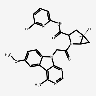 COc1ccc2c(c1)c1c(N)ncnc1n2CC(=O)N1C(C(=O)Nc2cccc(Br)n2)C[C@H]2CC21